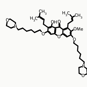 COc1c(OCCCCCCN2CCOCC2)cc2oc3cc(OCCCCCCN4CCOCC4)c(CC=C(C)C)c(O)c3c(=O)c2c1CC=C(C)C